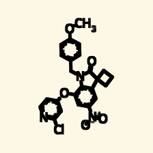 COc1ccc(CN2C(=O)C3(CCC3)c3cc([N+](=O)[O-])cc(Oc4ccnc(Cl)c4)c32)cc1